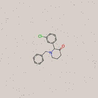 O=C1CCCN(Cc2ccccc2)C1c1cccc(Cl)c1